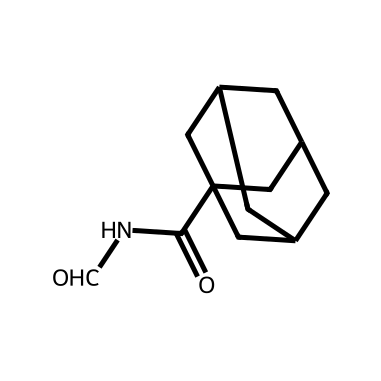 O=CNC(=O)C12CC3CC(CC(C3)C1)C2